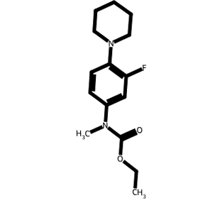 CCOC(=O)N(C)c1ccc(N2CCCCC2)c(F)c1